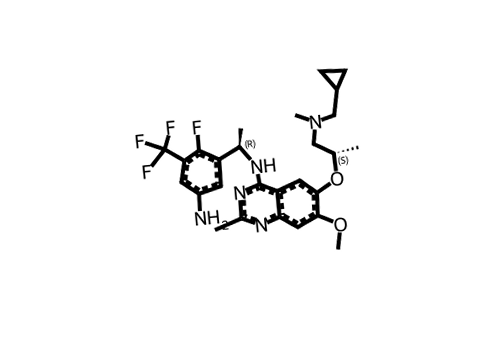 COc1cc2nc(C)nc(N[C@H](C)c3cc(N)cc(C(F)(F)F)c3F)c2cc1O[C@@H](C)CN(C)CC1CC1